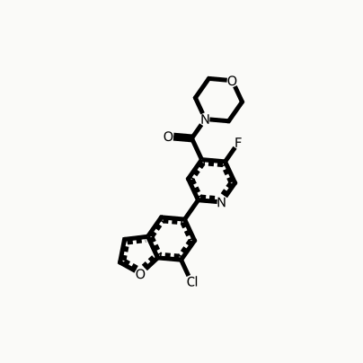 O=C(c1cc(-c2cc(Cl)c3occc3c2)ncc1F)N1CCOCC1